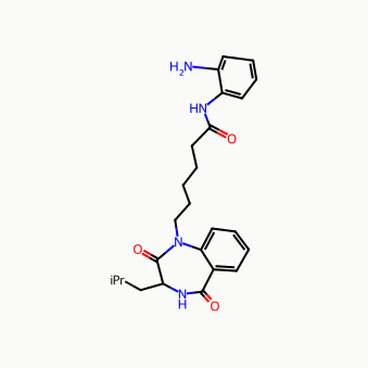 CC(C)CC1NC(=O)c2ccccc2N(CCCCCC(=O)Nc2ccccc2N)C1=O